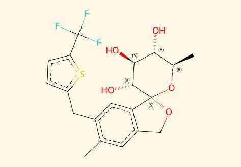 Cc1cc2c(cc1Cc1ccc(C(F)(F)F)s1)[C@]1(OC2)O[C@H](C)[C@@H](O)[C@H](O)[C@H]1O